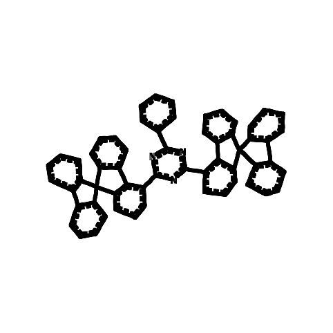 c1ccc(-c2nc(-c3cccc4c3-c3ccccc3C43c4ccccc4-c4ccccc43)nc(-c3cccc4c3-c3ccccc3C43c4ccccc4-c4ccccc43)n2)cc1